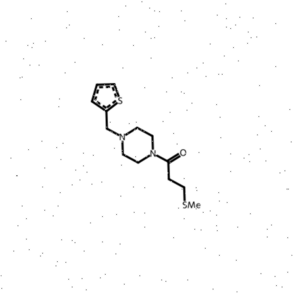 CSCCC(=O)N1CCN(Cc2cccs2)CC1